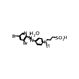 CCN(CCCS(=O)(=O)O)c1ccc(N=Nc2ncc(Br)cc2Br)cc1.O